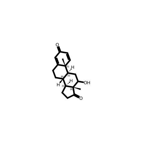 C[C@]12C=CC(=O)C=C1CC[C@@H]1[C@@H]2CC(O)[C@]2(C)C(=O)CC[C@@H]12